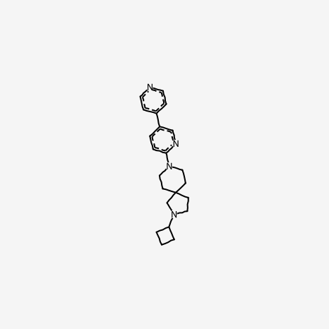 c1cc(-c2ccc(N3CCC4(CC3)CCN(C3CCC3)C4)nc2)ccn1